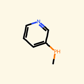 CPc1cccnc1